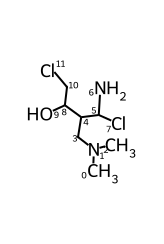 CN(C)CC(C(N)Cl)C(O)CCl